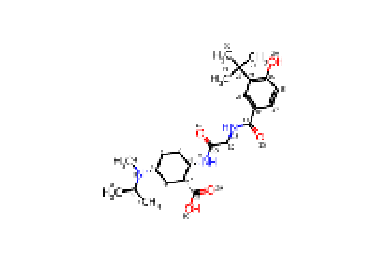 CC(C)N(C)[C@@H]1CC[C@H](NC(=O)CNC(=O)c2ccc(O)c(C(C)(C)C)c2)[C@H](C(=O)O)C1